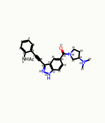 CC(=O)Nc1ccccc1C#Cc1n[nH]c2ccc(C(=O)N3CC[C@@H](N(C)C)C3)cc12